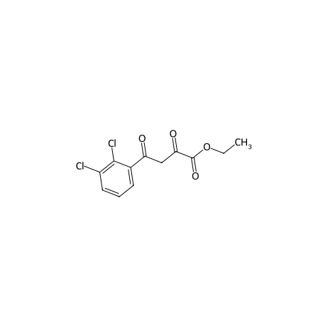 CCOC(=O)C(=O)CC(=O)c1cccc(Cl)c1Cl